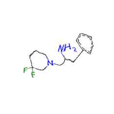 NC(Cc1ccccc1)CN1CCCC(F)(F)C1